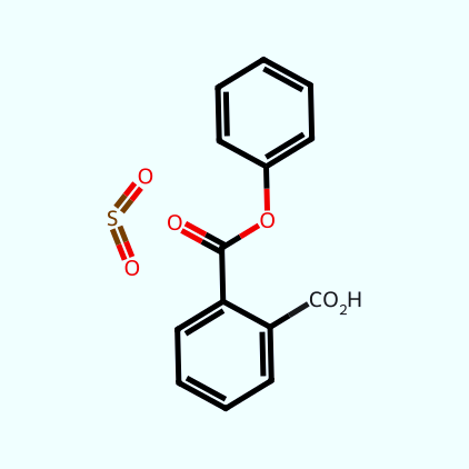 O=C(O)c1ccccc1C(=O)Oc1ccccc1.O=S=O